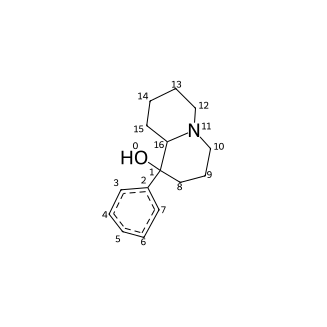 OC1(c2ccccc2)CCCN2CCCCC21